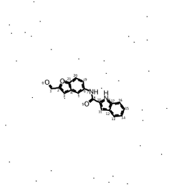 O=Cc1cc2cc(NC(=O)c3cc4ccccc4[nH]3)ccc2o1